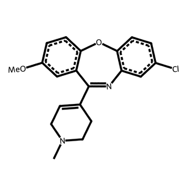 COc1ccc2c(c1)C(C1=CCN(C)CC1)=Nc1cc(Cl)ccc1O2